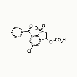 O=C(O)OC1CS(=O)(=O)c2c(C(=O)c3ccccc3)cc(Cl)cc21